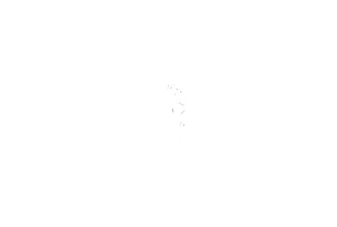 Cc1noc(-c2ccc(N3CC[C@H](F)C3)cc2)n1